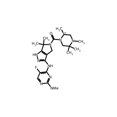 CNc1ncc(F)c(Nc2n[nH]c3c2CN(C(=O)N2CC(C)(C)N(C)C[C@@H]2C)C3(C)C)n1